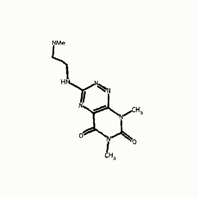 CNCCNc1nnc2c(n1)c(=O)n(C)c(=O)n2C